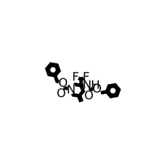 C=C1CN(C(=O)OCc2ccccc2)CC(NC(=O)OCc2ccccc2)(C(F)F)C1